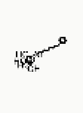 OC[C@@]1(O)O[C@@H](CNCCCCCCCCc2ccccc2)[C@@H](O)[C@@H]1O